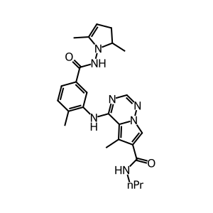 CCCNC(=O)c1cn2ncnc(Nc3cc(C(=O)NN4C(C)=CCC4C)ccc3C)c2c1C